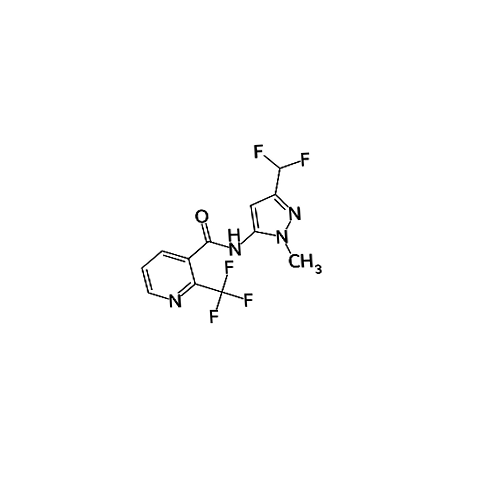 Cn1nc(C(F)F)cc1NC(=O)c1cccnc1C(F)(F)F